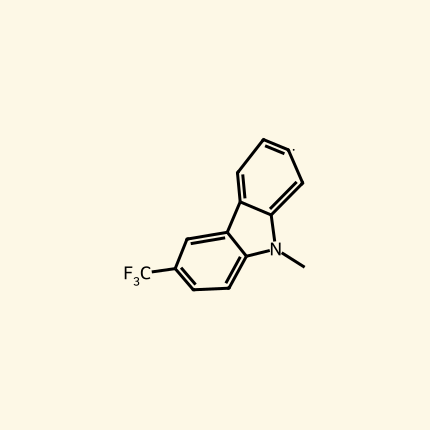 Cn1c2c[c]ccc2c2cc(C(F)(F)F)ccc21